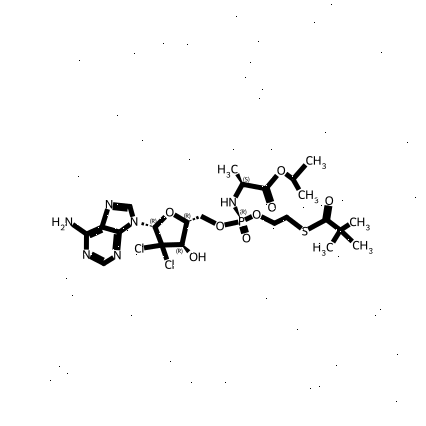 CC(C)OC(=O)[C@H](C)N[P@](=O)(OCCSC(=O)C(C)(C)C)OC[C@H]1O[C@@H](n2cnc3c(N)ncnc32)C(Cl)(Cl)[C@@H]1O